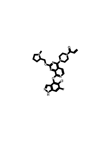 C=CC(=O)N1CCN(c2nc(OCC3CCCN3C)nc3c(Oc4c(Cl)c(F)cc5[nH]ncc45)nccc23)CC1